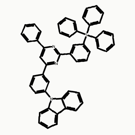 c1ccc(-c2cc(-c3cccc(-n4c5ccccc5c5ccccc54)c3)nc(-c3cccc(S(c4ccccc4)(c4ccccc4)c4ccccc4)c3)n2)cc1